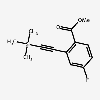 COC(=O)c1ccc(F)cc1C#C[Si](C)(C)C